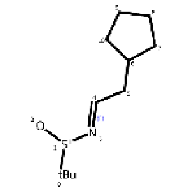 CC(C)(C)[S+]([O-])/N=C/CC1CCCC1